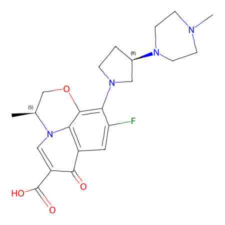 C[C@H]1COc2c(N3CC[C@@H](N4CCN(C)CC4)C3)c(F)cc3c(=O)c(C(=O)O)cn1c23